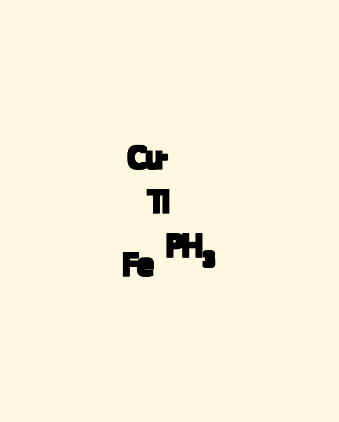 P.[Cu].[Fe].[Ti]